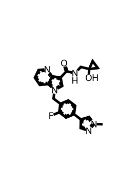 Cn1cc(-c2ccc(Cn3cc(C(=O)NCC4(O)CC4)c4ncccc43)c(F)c2)cn1